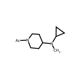 CC(=O)N1CCC(N(C)C2CC2)CC1